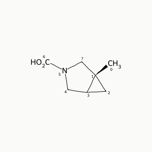 C[C@@]12CC1CN(C(=O)O)C2